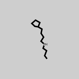 CCCCPCCCCC1CCCC1